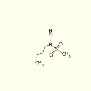 CCCCN(C#N)S(C)(=O)=O